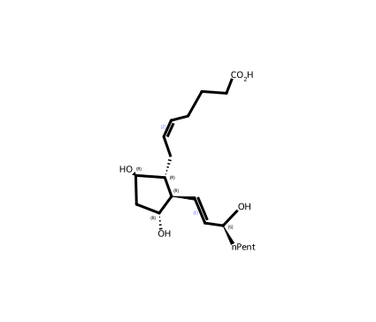 CCCCC[C@H](O)/C=C/[C@@H]1[C@@H](C/C=C\CCCC(=O)O)[C@H](O)C[C@H]1O